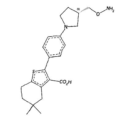 CC1(C)CCc2sc(-c3ccc(N4CC[C@H](CON)C4)cc3)c(C(=O)O)c2C1